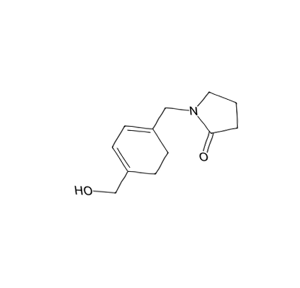 O=C1CCCN1CC1=CC=C(CO)CC1